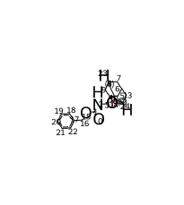 O=C(NCC12CC3C[C@H](C1)C(=O)[C@@H](C3)C2)OCc1ccccc1